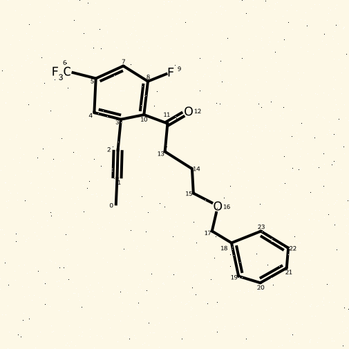 CC#Cc1cc(C(F)(F)F)cc(F)c1C(=O)CCCOCc1ccccc1